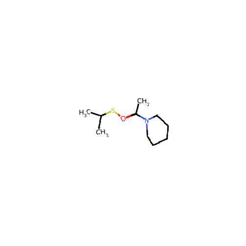 CC(C)SOC(C)N1CCCCC1